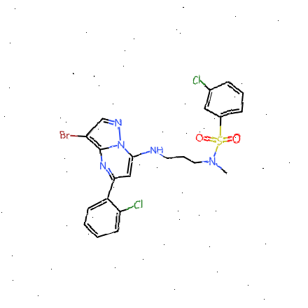 CN(CCCNc1cc(-c2ccccc2Cl)nc2c(Br)cnn12)S(=O)(=O)c1cccc(Cl)c1